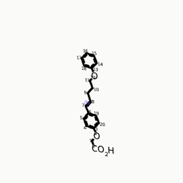 O=C(O)COc1ccc(/C=C/CCCOc2ccccc2)cc1